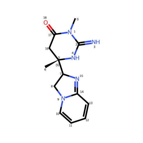 CN1C(=N)N[C@](C)(C2CN3C=CC=CC3=N2)CC1=O